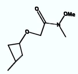 CON(C)C(=O)COC1CC(C)C1